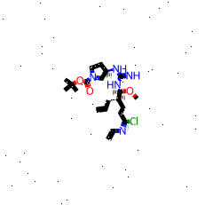 C=CC[C@@H](CC/C(Cl)=N\C=C)[C@H](NC(=N)N[C@@H]1CCN(C(=O)OC(C)(C)C)C1)OC